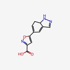 O=C(O)c1cc(C2=CCC3NN=CC3=C2)on1